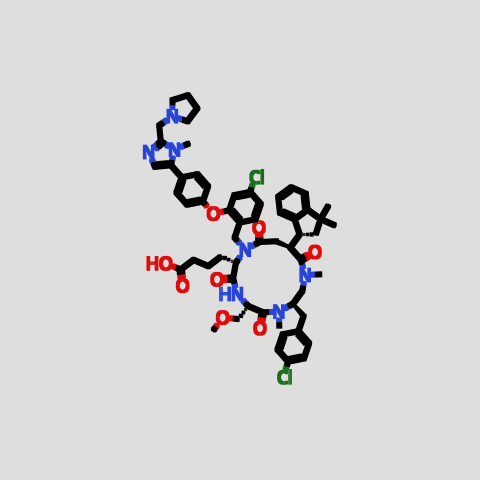 COC[C@@H]1NC(=O)[C@H](CCCC(=O)O)N(Cc2ccc(Cl)cc2Oc2ccc(-c3cnc(CN4CCCC4)n3C)cc2)C(=O)C[C@@H]([C@H]2CC(C)(C)c3ccccc32)C(=O)N(C)C[C@@H](Cc2ccc(Cl)cc2)N(C)C1=O